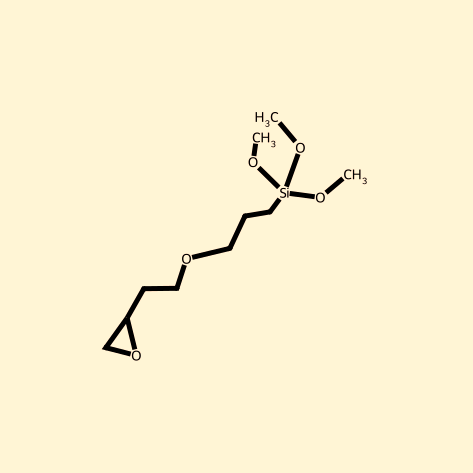 CO[Si](CCCOCCC1CO1)(OC)OC